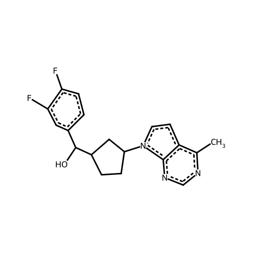 Cc1ncnc2c1ccn2C1CCC(C(O)c2ccc(F)c(F)c2)C1